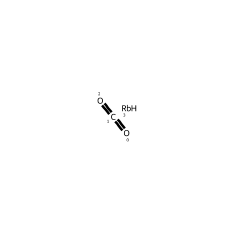 O=C=O.[RbH]